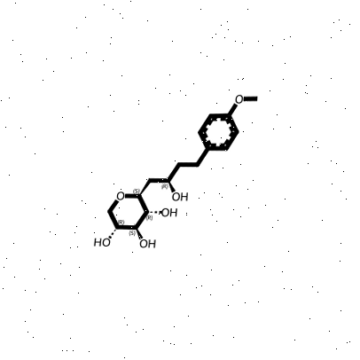 COc1ccc(CC[C@@H](O)C[C@@H]2OC[C@@H](O)[C@H](O)[C@H]2O)cc1